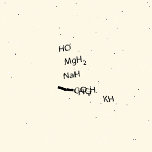 CC(=O)O.Cl.Cl.[KH].[MgH2].[NaH]